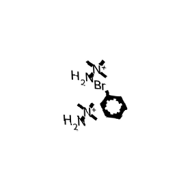 Brc1ccccc1.C[N+](C)(C)N.C[N+](C)(C)N